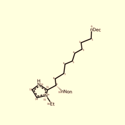 CCCCCCCCCCCCCCCCCC[C@H](CCCCCCCCC)c1[nH]cc[n+]1CC